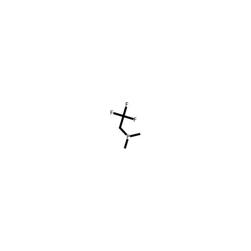 CP(C)CC(F)(F)F